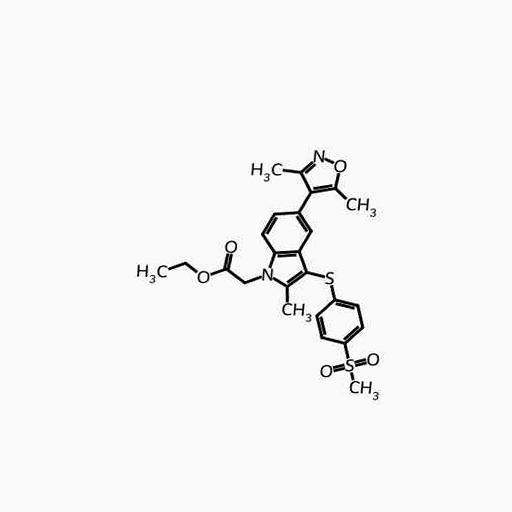 CCOC(=O)Cn1c(C)c(Sc2ccc(S(C)(=O)=O)cc2)c2cc(-c3c(C)noc3C)ccc21